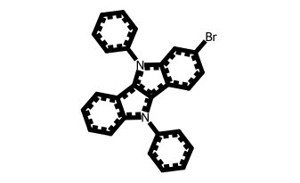 Brc1ccc2c(c1)n(-c1ccccc1)c1c3ccccc3n(-c3ccccc3)c21